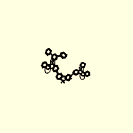 CC1(C)c2ccc(-c3ccc4c(c3)C3Oc5ccccc5C3N4c3ccccc3)cc2-c2cc(-c3ccc4c(c3)C3Oc5ccccc5C3N4c3cc(-c4ccccc4)cc(-c4ccccc4)c3)ccc21